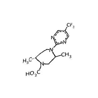 CC1CN(C(=O)O)[C@H](C)CN1c1ncc(C(F)(F)F)cn1